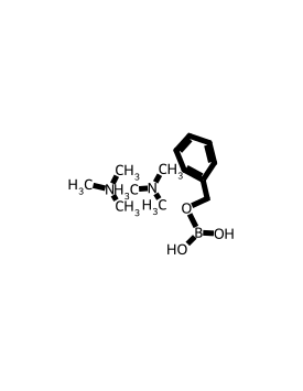 CN(C)C.CN(C)C.OB(O)OCc1ccccc1